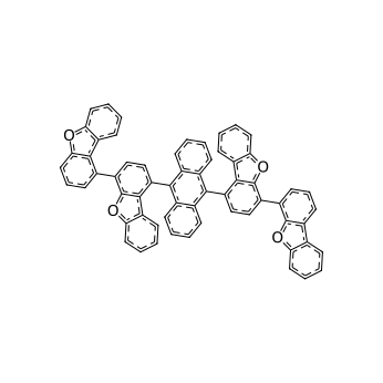 c1ccc2c(c1)oc1c(-c3ccc(-c4c5ccccc5c(-c5ccc(-c6cccc7oc8ccccc8c67)c6oc7ccccc7c56)c5ccccc45)c4c3oc3ccccc34)cccc12